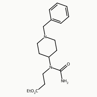 CCOC(=O)CCN(C(N)=O)C1CCN(Cc2ccccc2)CC1